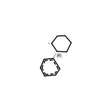 [CH]1CCCC[C@@H]1c1ccccc1